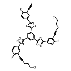 CC#Cc1cc(-c2noc(-c3cc(-c4nc(-c5ccc(F)c(C#CCCCCl)c5)no4)cc(-c4nc(-c5ccc(F)c(C#CCCCCl)c5)no4)c3)n2)ccc1F